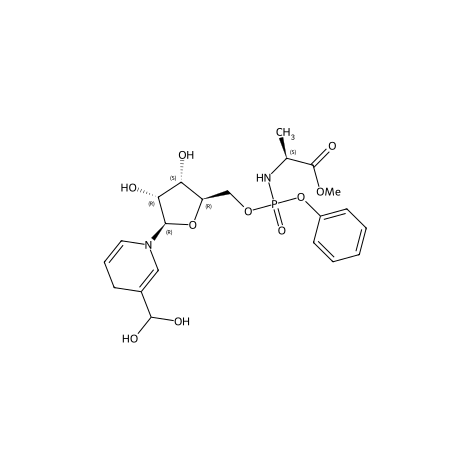 COC(=O)[C@H](C)NP(=O)(OC[C@H]1O[C@@H](N2C=CCC(C(O)O)=C2)[C@H](O)[C@@H]1O)Oc1ccccc1